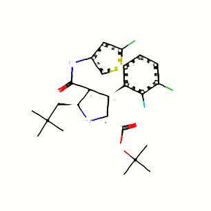 CC(C)(C)C[C@@H]1N[C@@H](C(=O)OC(C)(C)C)[C@H](c2cccc(Cl)c2F)[C@]12C(=O)Nc1cc(Cl)sc12